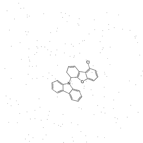 Clc1cccc2oc3c(c12)C=CCC3n1c2ccccc2c2ccccc21